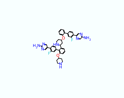 Nc1cnc(-c2ccc(-c3ccccc3OC3CCNC(c4cccc(OC5CCNCC5)c4-c4ccc(-c5cnc(N)nc5)c(F)c4)C3)cc2F)cn1